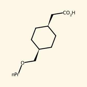 CCCOC[C@H]1CC[C@@H](CC(=O)O)CC1